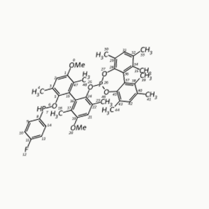 COc1cc(C)c(OPc2ccc(F)cc2)c(-c2c(C)c(OC)cc(C)c2Op2oc3c(C)cc(C)c(C)c3c3c(C)c(C)cc(C)c3o2)c1C